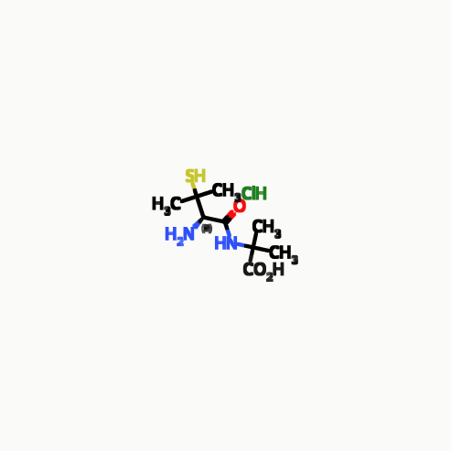 CC(C)(NC(=O)[C@@H](N)C(C)(C)S)C(=O)O.Cl